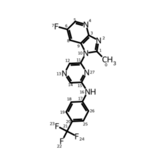 Cc1nc2ncc(F)cc2n1-c1cncc(Nc2ccc(C(F)(F)F)cc2)n1